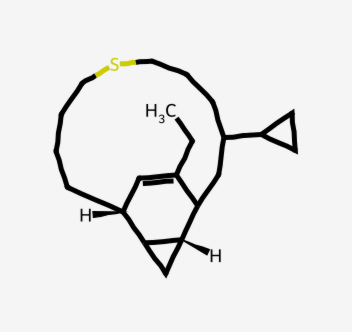 CCC1=C[C@H]2CCCCSCCCC(C3CC3)CC1[C@@H]1CC12